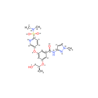 C[C@@H](CO)Oc1cc(Oc2ccc(S(=O)(=O)N(C)C)nc2)cc(C(=O)Nc2ccn(C)n2)c1